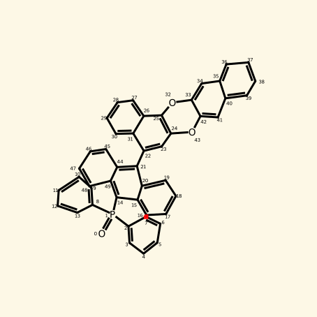 O=P(c1ccccc1)(c1ccccc1)c1c2ccccc2c(-c2cc3c(c4ccccc24)Oc2cc4ccccc4cc2O3)c2ccccc12